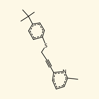 Cc1cccc(C#CCSc2ccc(C(C)(C)C)cc2)n1